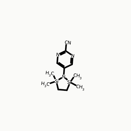 C[Si]1(C)CC[Si](C)(C)N1c1cnc(C#N)nc1